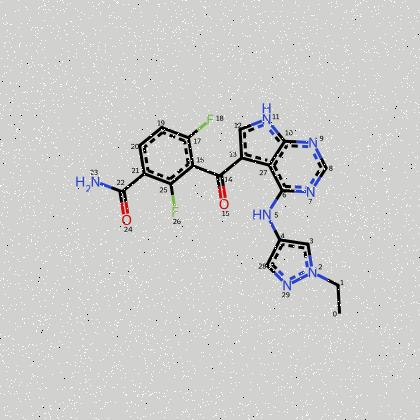 CCn1cc(Nc2ncnc3[nH]cc(C(=O)c4c(F)ccc(C(N)=O)c4F)c23)cn1